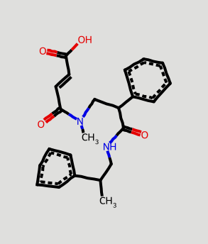 CC(CNC(=O)C(CN(C)C(=O)/C=C/C(=O)O)c1ccccc1)c1ccccc1